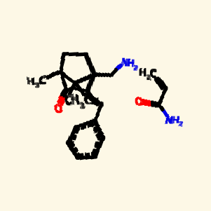 C=CC(N)=O.CC12CCC(CN)(C(=Cc3ccccc3)C1=O)C2(C)C